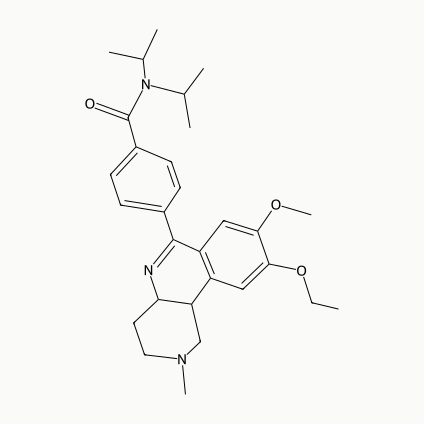 CCOc1cc2c(cc1OC)C(c1ccc(C(=O)N(C(C)C)C(C)C)cc1)=NC1CCN(C)CC21